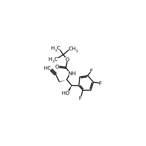 C#CC[C@H](NC(=O)OC(C)(C)C)[C@H](O)c1cc(F)c(F)cc1F